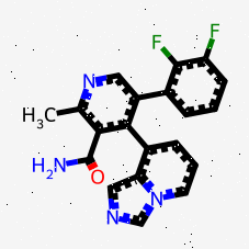 Cc1ncc(-c2cccc(F)c2F)c(-c2cccn3cncc23)c1C(N)=O